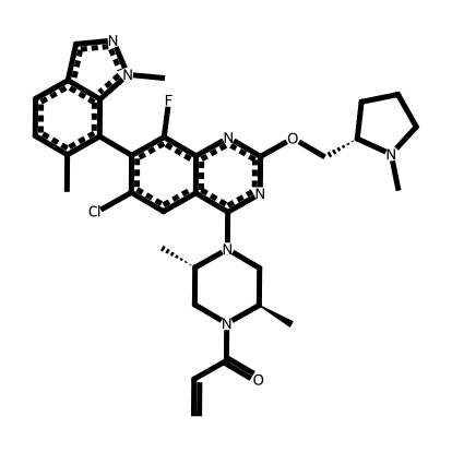 C=CC(=O)N1C[C@H](C)N(c2nc(OC[C@@H]3CCCN3C)nc3c(F)c(-c4c(C)ccc5cnn(C)c45)c(Cl)cc23)C[C@H]1C